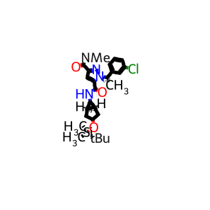 CNC(=O)c1cc(C(=O)NC2[C@H]3CC(O[Si](C)(C)C(C)(C)C)C[C@@H]23)n([C@@H](C)c2cccc(Cl)c2)n1